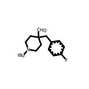 CC(C)(C)N1CCC(C=O)(Cc2ccc(F)cc2)CC1